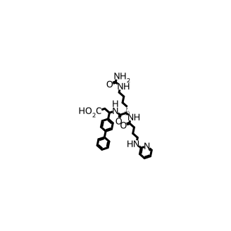 NC(=O)NCCCC[C@H](NC(=O)CCCNc1ccccn1)C(=O)NC(CC(=O)O)c1ccc(-c2ccccc2)cc1